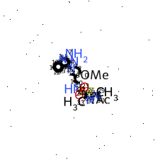 COCCc1nc2c(N)nc3ccccc3c2n1CCCCNS(=O)(=O)c1sc(N(C)C(C)=O)nc1C